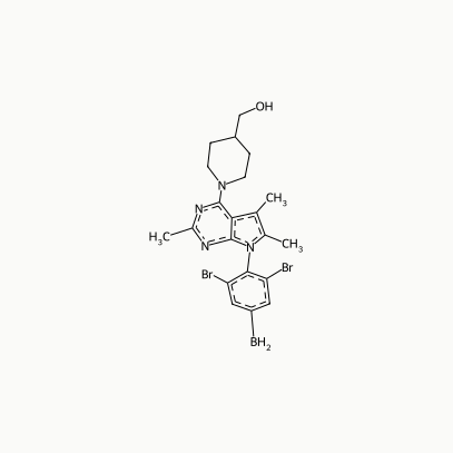 Bc1cc(Br)c(-n2c(C)c(C)c3c(N4CCC(CO)CC4)nc(C)nc32)c(Br)c1